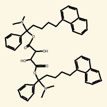 CN(C)C(CCCCc1cccc2ccccc12)(OC(=O)C(O)C(O)C(=O)OC(CCCCc1cccc2ccccc12)(c1ccccc1)N(C)C)c1ccccc1